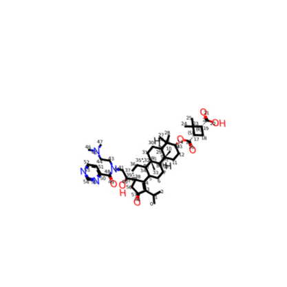 CC(C)C1=C2C3CC[C@@H]4[C@@]5(C)CC[C@H](OC(=O)[C@H]6C[C@@H](C(=O)O)C6(C)C)C(C)(C)[C@@H]5CC[C@@]4(C)[C@]3(C)CC[C@@]2([C@@H](O)CN(CCN(C)C)C(=O)c2ccncn2)CC1=O